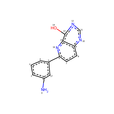 Nc1cccc(-c2ccc3ncnc(O)c3n2)c1